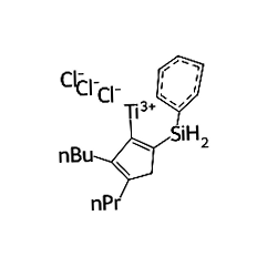 CCCCC1=C(CCC)CC([SiH2]c2ccccc2)=[C]1[Ti+3].[Cl-].[Cl-].[Cl-]